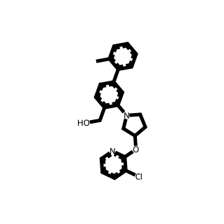 Cc1ccccc1-c1ccc(CO)c(N2CCC(Oc3ncccc3Cl)C2)c1